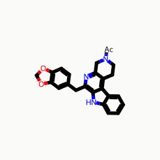 CC(=O)N1CCc2c(nc(Cc3ccc4c(c3)OCO4)c3[nH]c4ccccc4c23)C1